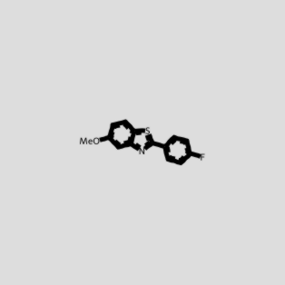 COc1ccc2sc(-c3ccc(F)cc3)nc2c1